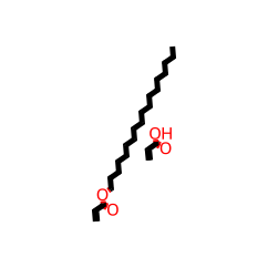 C=CC(=O)O.C=CC(=O)OCCCCCCCCCCCCCCCCCC